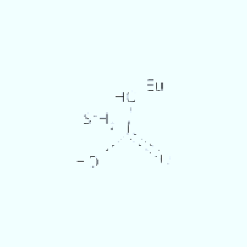 O=C(O)O.[Eu].[SrH2]